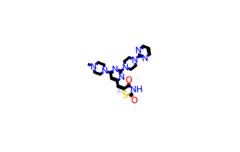 CN1CCN(c2cc(/C=C3/SC(=O)NC3=O)nc(N3CCN(c4ncccn4)CC3)n2)CC1